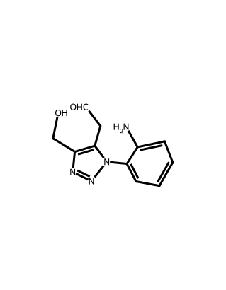 Nc1ccccc1-n1nnc(CO)c1CC=O